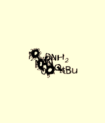 CC(C)(C)COc1ccc2c(c1)C1(COC(N)=N1)c1cc(-c3cccnc3)ncc1O2